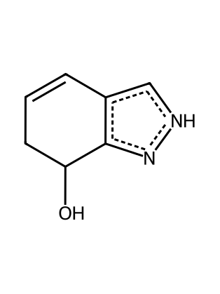 OC1CC=Cc2c[nH]nc21